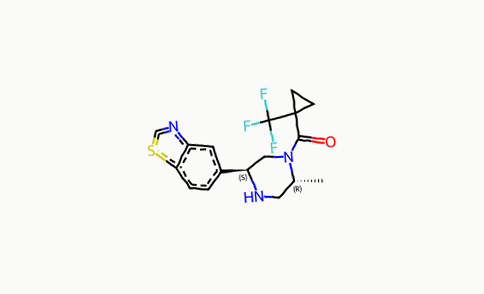 C[C@@H]1CN[C@@H](c2ccc3scnc3c2)CN1C(=O)C1(C(F)(F)F)CC1